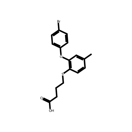 Cc1ccc(SCCCC(=O)O)c(Oc2ccc(Br)cc2)c1